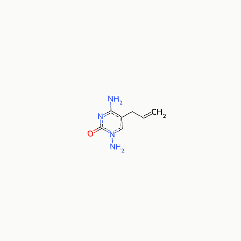 C=CCc1cn(N)c(=O)nc1N